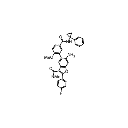 CNC(=O)c1c(-c2ccc(F)cc2)oc2cc(N)c(-c3cc(C(=O)NC4(c5ccccc5)CC4)ccc3OC)cc12